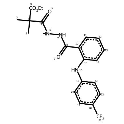 CCOC(=O)C(C)(C)C(=O)NNC(=O)c1ccccc1Nc1ccc(C(F)(F)F)cc1